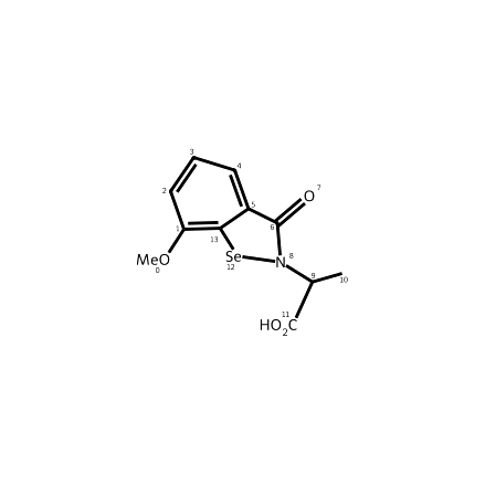 COc1cccc2c(=O)n(C(C)C(=O)O)[se]c12